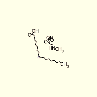 CCCCCCCC/C=C\CCCCCCCC(=O)O.CNCCS(=O)(=O)O